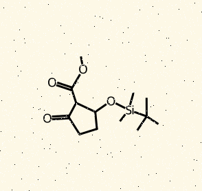 COC(=O)C1C(=O)CCC1O[Si](C)(C)C(C)(C)C